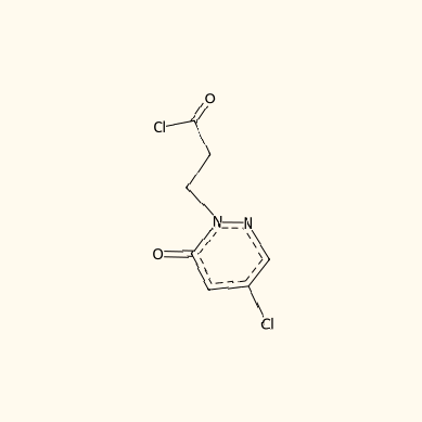 O=C(Cl)CCn1ncc(Cl)cc1=O